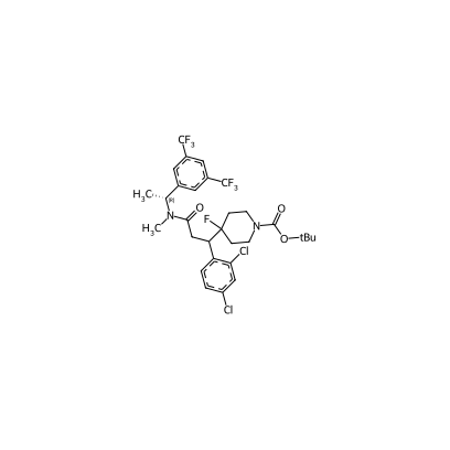 C[C@H](c1cc(C(F)(F)F)cc(C(F)(F)F)c1)N(C)C(=O)CC(c1ccc(Cl)cc1Cl)C1(F)CCN(C(=O)OC(C)(C)C)CC1